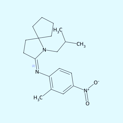 Cc1cc([N+](=O)[O-])ccc1/N=C1/CCC2(CCCC2)N1CC(C)C